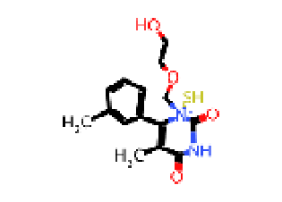 CC1=C(c2cccc(C)c2)[N+](S)(COCCO)C(=O)NC1=O